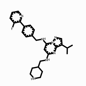 CC(C)c1cnn2c(NCc3ccc(-c4ncccc4F)cc3)cc(NCC3CCNCC3)nc12